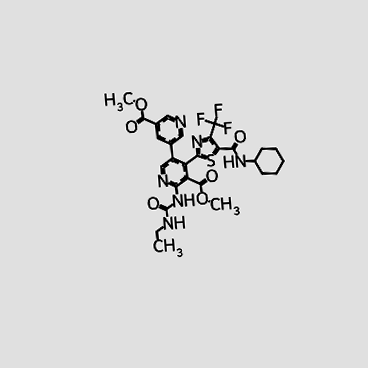 CCNC(=O)Nc1ncc(-c2cncc(C(=O)OC)c2)c(-c2nc(C(F)(F)F)c(C(=O)NC3CCCCC3)s2)c1C(=O)OC